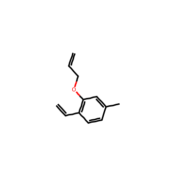 C=CCOc1cc(C)ccc1C=C